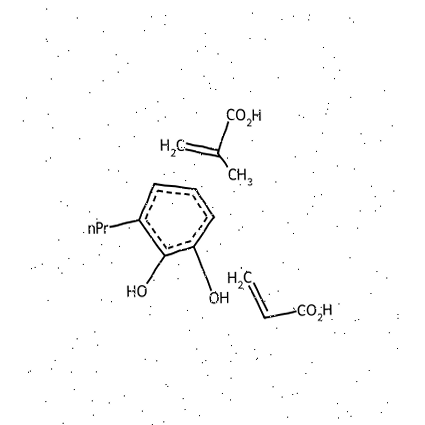 C=C(C)C(=O)O.C=CC(=O)O.CCCc1cccc(O)c1O